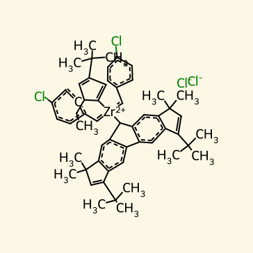 CCC1C=C(C(C)(C)C)C=[C]1[Zr+2](=[CH]c1ccc(Cl)cc1)(=[CH]c1ccc(Cl)cc1)[CH]1c2cc3c(cc2-c2cc4c(cc21)C(C)(C)C=C4C(C)(C)C)C(C(C)(C)C)=CC3(C)C.[Cl-].[Cl-]